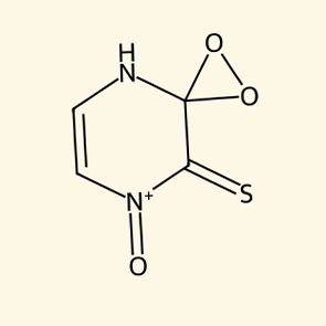 O=[N+]1C=CNC2(OO2)C1=S